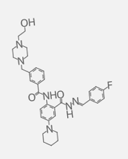 O=C(Nc1ccc(N2CCCCC2)cc1C(=O)NN=Cc1ccc(F)cc1)c1cccc(CN2CCN(CCO)CC2)c1